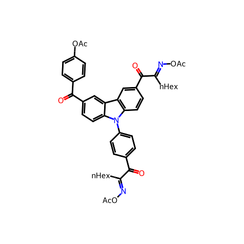 CCCCCC/C(=N\OC(C)=O)C(=O)c1ccc(-n2c3ccc(C(=O)/C(CCCCCC)=N/OC(C)=O)cc3c3cc(C(=O)c4ccc(OC(C)=O)cc4)ccc32)cc1